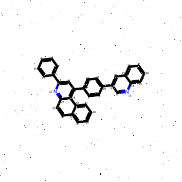 c1ccc(-c2cc(-c3ccc(-c4cnc5ccccc5c4)cc3)c3c(ccc4ccccc43)n2)cc1